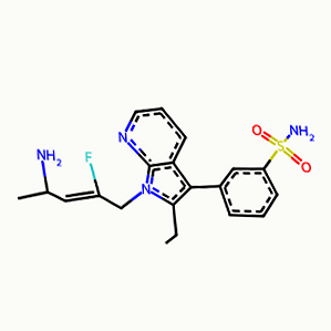 CCc1c(-c2cccc(S(N)(=O)=O)c2)c2cccnc2n1C/C(F)=C/C(C)N